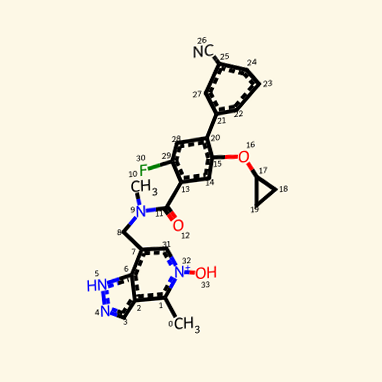 Cc1c2cn[nH]c2c(CN(C)C(=O)c2cc(OC3CC3)c(-c3cccc(C#N)c3)cc2F)c[n+]1O